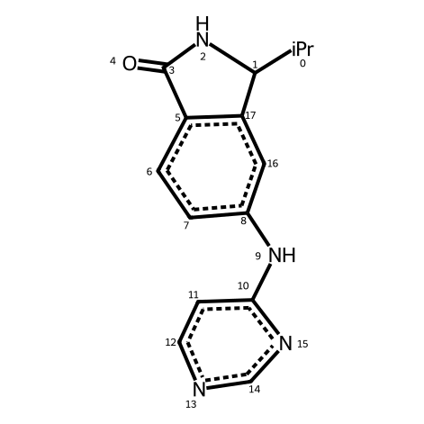 CC(C)C1NC(=O)c2ccc(Nc3ccncn3)cc21